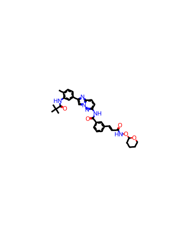 Cc1ccc(-c2cn3nc(NC(=O)c4cccc(C=CC(=O)NOC5CCCCO5)c4)ccc3n2)cc1NC(=O)C(C)(C)C